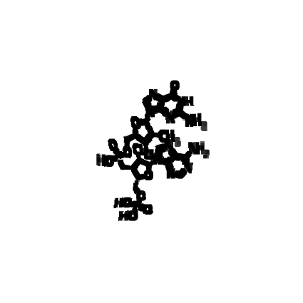 C[C@@H]1[C@H](C)[C@@H](COP(=O)(O)C[C@H]2[C@@H](C)[C@H](n3cnc4c(N)ncnc43)O[C@@H]2COP(=O)(O)O)O[C@H]1n1cnc2c(=O)[nH]c(N)nc21